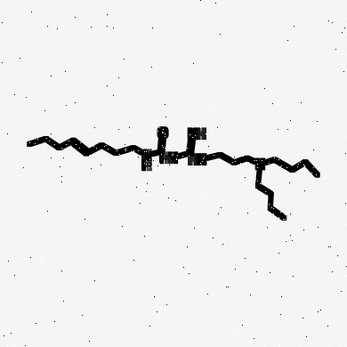 CCC/C=C/CCCNC(=O)NC(=N)NCCCN(CCCC)CCCC